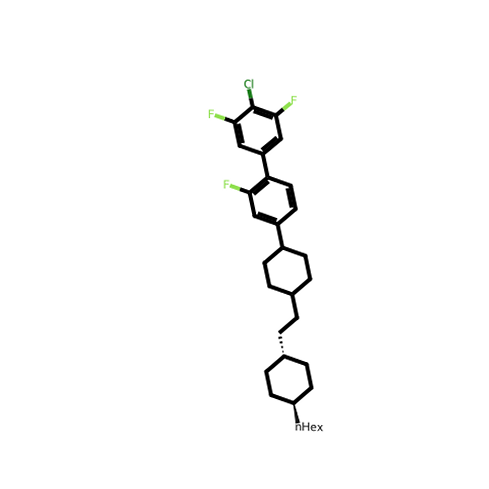 CCCCCC[C@H]1CC[C@H](CCC2CCC(c3ccc(-c4cc(F)c(Cl)c(F)c4)c(F)c3)CC2)CC1